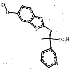 CCOc1ccc2nc(SC(C)(C(=O)O)c3cccnc3)sc2c1